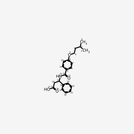 CC(C)CCOc1ccc(C(=O)NC(CC(=O)O)c2ccccc2)cc1